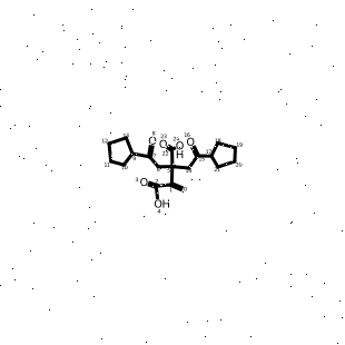 C=C(C(=O)O)C(CC(=O)C1CCCC1)(CC(=O)C1CCCC1)C(=O)O